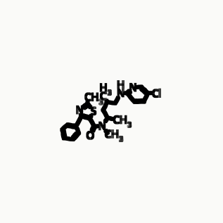 Cc1nc(-c2ccccc2)c(C(=O)N(C)C(C)CC(C)CNc2ccc(Cl)cn2)s1